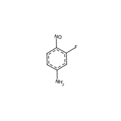 Nc1ccc(N=O)c(F)c1